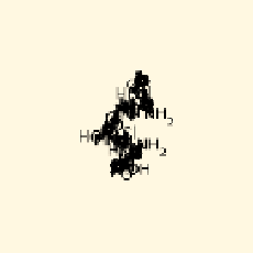 Cc1ccc(N=Nc2ccc(N)cc2Nc2nc(Cl)nc(Nc3cc(S(=O)(=O)CCN(C)c4nc(C)nc(Nc5cc(N)ccc5N=Nc5ccc(C)cc5S(=O)(=O)O)n4)ccc3CO)n2)c(S(=O)(=O)O)c1